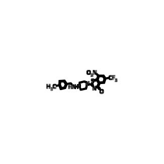 Cc1ccc(CNN2CCN(c3nc(=O)c4cc(C(F)(F)F)cc([N+](=O)[O-])c4s3)CC2)cc1